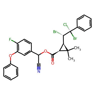 CC1(C)[C@H]([C@H](Br)[C@](Cl)(Br)c2ccccc2)[C@@H]1C(=O)OC(C#N)c1ccc(F)c(Oc2ccccc2)c1